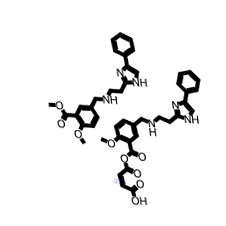 COC(=O)c1cc(CNCCc2nc(-c3ccccc3)c[nH]2)ccc1OC.COc1ccc(CNCCc2nc(-c3ccccc3)c[nH]2)cc1C(=O)OC(=O)/C=C\C(=O)O